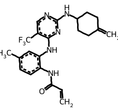 C=CC(=O)Nc1ccc(C)cc1Nc1nc(NC2CCC(=C)CC2)ncc1C(F)(F)F